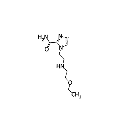 CCOCCNCCn1c[c]nc1C(N)=O